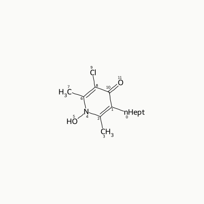 CCCCCCCc1c(C)n(O)c(C)c(Cl)c1=O